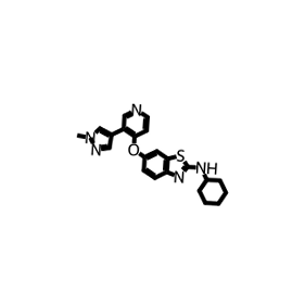 Cn1cc(-c2cnccc2Oc2ccc3nc(NC4CCCCC4)sc3c2)cn1